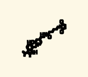 Cc1[nH]c2c(CN3CCC(CCNC(=O)CCCCCN4C(=O)C=CC4=O)CC3)c(O)ccc2c1C(C)C